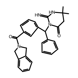 CC1(C)CC(=O)N(C(c2ccccc2)c2cccc(C(=O)N3Cc4ccccc4C3)c2)C(=N)N1